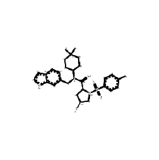 Cc1ccc(S(=O)(=O)N2C[C@@H](F)C[C@H]2C(=O)N(Cc2ccc3ccoc3c2)C2CCC(C)(C)CC2)cc1